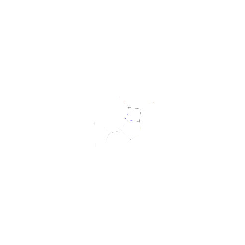 CC(C=O)C1CSC2[C@@H](Br)C(=O)N12